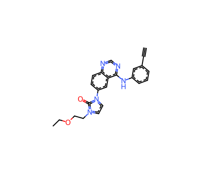 C#Cc1cccc(Nc2ncnc3ccc(-n4ccn(CCOCC)c4=O)cc23)c1